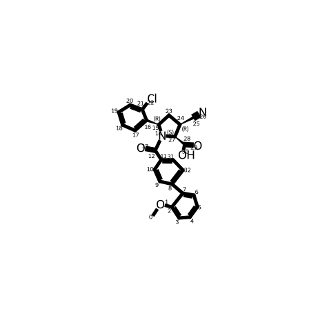 COc1ccccc1-c1ccc(C(=O)N2[C@@H](c3ccccc3Cl)C[C@@H](C#N)[C@H]2C(=O)O)cc1